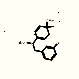 CCCCCCCCCN(Cc1cccc(Br)c1)C1=CCC(C)(OC)C=C1